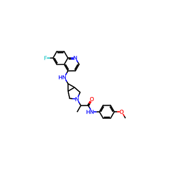 COc1ccc(NC(=O)C(C)N2CC3C(C2)C3Nc2ccnc3ccc(F)cc23)cc1